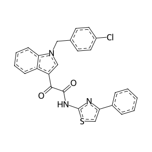 O=C(Nc1nc(-c2ccccc2)cs1)C(=O)c1cn(Cc2ccc(Cl)cc2)c2ccccc12